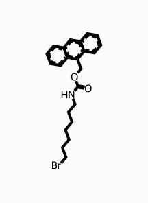 O=C(NCCCCCCCBr)OCc1c2ccccc2cc2ccccc12